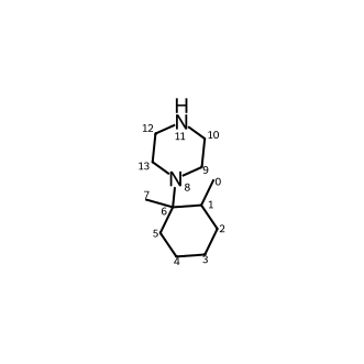 CC1CCCCC1(C)N1CCNCC1